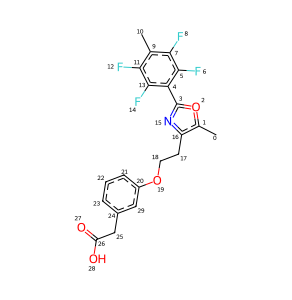 Cc1oc(-c2c(F)c(F)c(C)c(F)c2F)nc1CCOc1cccc(CC(=O)O)c1